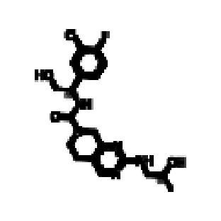 C[C@H](O)CNc1ncc2c(n1)CN(C(=O)N[C@H](CO)c1ccc(F)c(Cl)c1)CC2